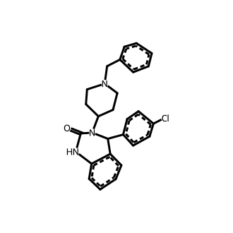 O=C1Nc2ccccc2C(c2ccc(Cl)cc2)N1C1CCN(Cc2ccccc2)CC1